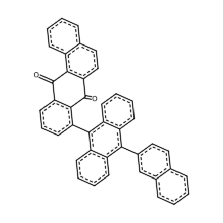 O=C1c2ccc3ccccc3c2C(=O)c2cccc(-c3c4ccccc4c(-c4ccc5ccccc5c4)c4ccccc34)c21